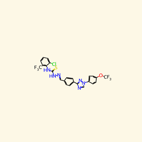 FC(F)(F)Oc1ccc(-n2cnc(-c3ccc(C=NNC(=S)Nc4c(Cl)cccc4C(F)(F)F)cc3)n2)cc1